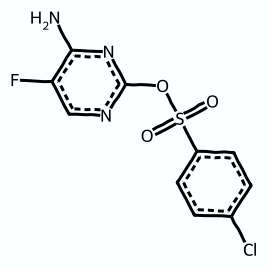 Nc1nc(OS(=O)(=O)c2ccc(Cl)cc2)ncc1F